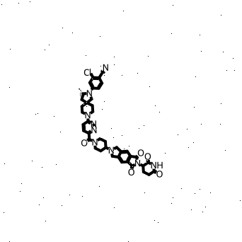 C[C@H]1CC2(CCN(c3ccc(C(=O)N4CCC(N5Cc6cc7c(cc6C5)C(=O)N(C5CCC(=O)NC5=O)C7=O)CC4)nn3)CC2)CN1c1ccc(C#N)c(Cl)c1